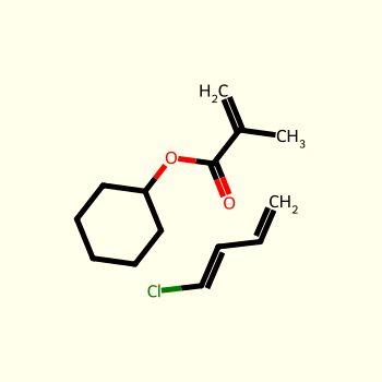 C=C(C)C(=O)OC1CCCCC1.C=CC=CCl